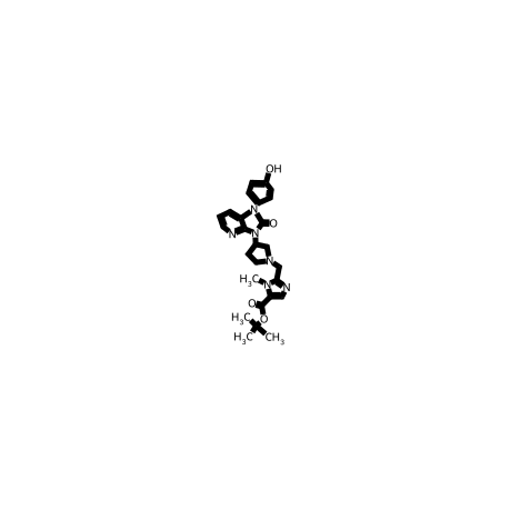 Cn1c(C(=O)OC(C)(C)C)cnc1CN1CCC(n2c(=O)n(-c3ccc(O)cc3)c3cccnc32)C1